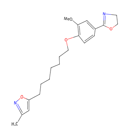 COc1cc(C2=NCCO2)ccc1OCCCCCCCc1cc(C)no1